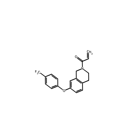 C=CC(=O)N1CCc2ccc(Oc3ccc(C(F)(F)F)cc3)cc2C1